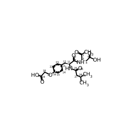 CC(=O)[C@H](CC(=O)O)NC(=O)[C@H](Cc1ccc(OCC(=O)O)cc1)NC(=O)CC(C)C